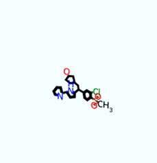 CS(=O)(=O)c1ccc(C(CC2CCC(=O)C2)c2ccc(-c3ccccn3)[nH]2)cc1Cl